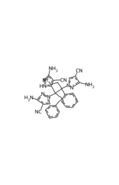 CC(C)CCC(c1ccccc1)(n1cc(C#N)c(N)n1)C(Cc1ccccc1)(c1[nH]nc(N)c1C#N)n1cc(C#N)c(N)n1